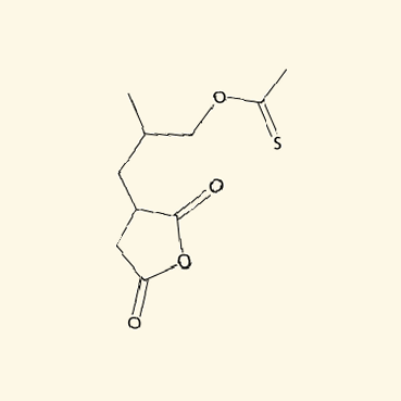 CC(=S)OCC(C)CC1CC(=O)OC1=O